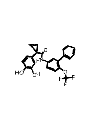 O=C(Nc1ccc(OC(F)(F)F)c(-c2ccccc2)c1)C1(c2ccc(O)c(O)c2)CC1